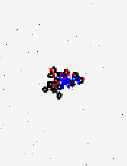 c1ccc(-c2cccc([Si](c3cccc(-c4ccccc4)c3)(c3cccc(-c4ccccc4)c3)c3cccc(-c4nc(-c5cccc(-n6c7ccccc7c7ccccc76)c5)nc(-n5c6ccccc6c6cc(-c7ccccc7)ccc65)n4)c3)c2)cc1